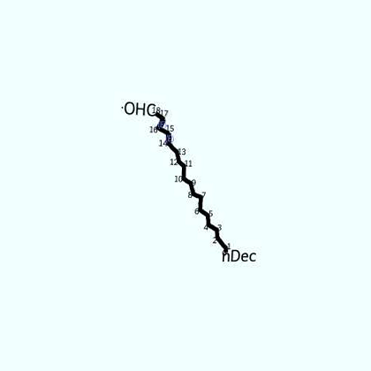 CCCCCCCCCCCCCCCCCCCCCCC/C=C/C=C/[C]=O